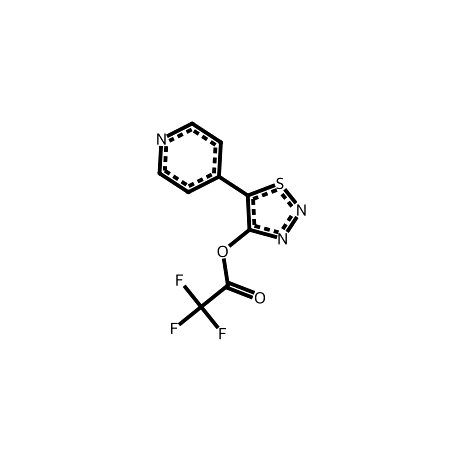 O=C(Oc1nnsc1-c1ccncc1)C(F)(F)F